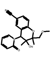 COCC1(C)Oc2ccc(C#N)cc2C(n2ccccc2=O)C1(C)O